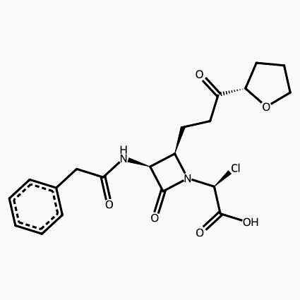 O=C(Cc1ccccc1)N[C@@H]1C(=O)N([C@@H](Cl)C(=O)O)[C@@H]1CCC(=O)[C@@H]1CCCO1